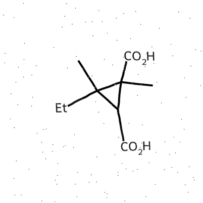 CCC1(C)C(C(=O)O)C1(C)C(=O)O